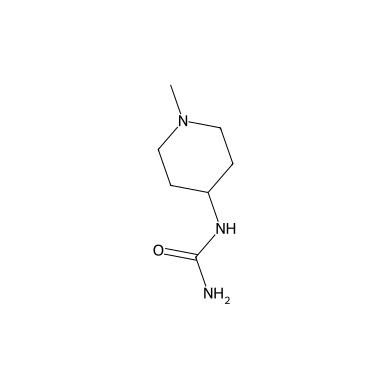 CN1CCC(NC(N)=O)CC1